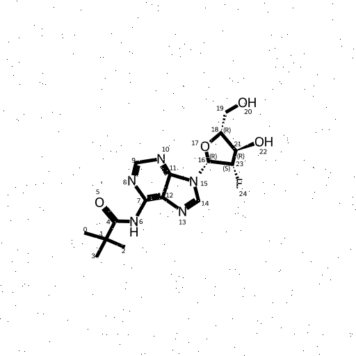 CC(C)(C)C(=O)Nc1ncnc2c1ncn2[C@@H]1O[C@H](CO)[C@@H](O)[C@@H]1F